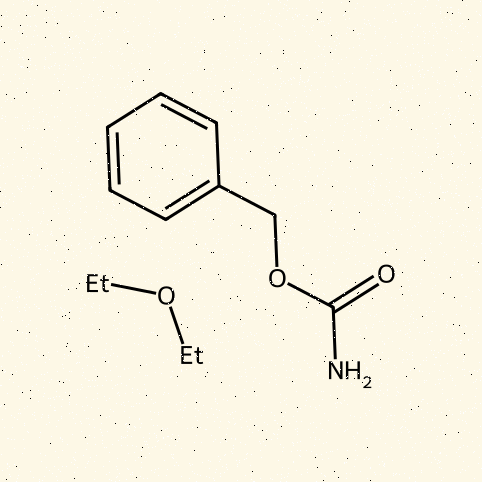 CCOCC.NC(=O)OCc1ccccc1